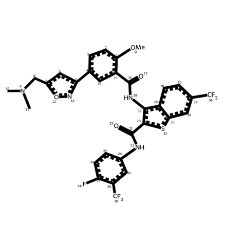 COc1ccc(-c2cc(CN(C)C)on2)cc1C(=O)Nc1c(C(=O)Nc2ccc(F)c(C(F)(F)F)c2)sc2cc(C(F)(F)F)ccc12